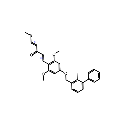 COc1cc(OCc2cccc(-c3ccccc3)c2C)cc(OC)c1/C=C/C(=O)/C=C/SC